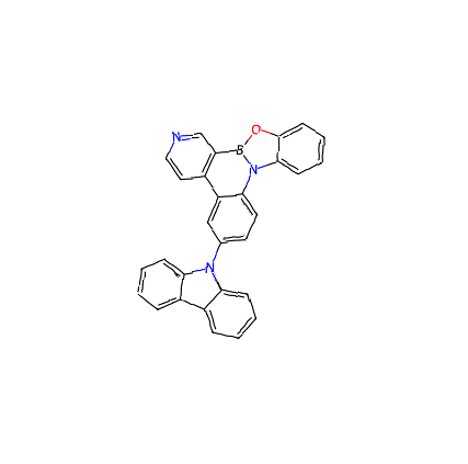 c1ccc2c(c1)OB1c3cnccc3-c3cc(-n4c5ccccc5c5ccccc54)ccc3N12